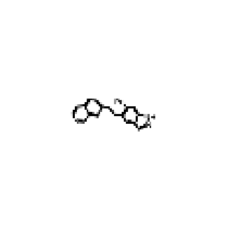 CC(C)c1cc2[nH]ncc2cc1CCc1ccc2ccncc2c1